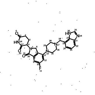 O=C1CCC(N2Cc3c(cc(F)cc3N3CCN(Cc4cccc5nc[nH]c45)CC3)C2=O)C(=O)N1